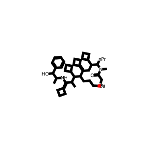 CCCC(C(CC(=C1CCC1)C(CCCC(C)CC)C(C1CCC1)C(C)C(NC(C)C(O)c1ccccc1)=C1CCC1)C1CCC1)N(C)C(=O)CC(C)C